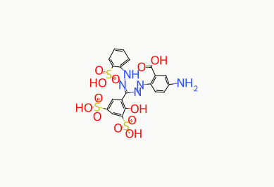 Nc1ccc(N=NC(=NNc2ccccc2S(=O)(=O)O)c2cc(S(=O)(=O)O)cc(S(=O)(=O)O)c2O)c(C(=O)O)c1